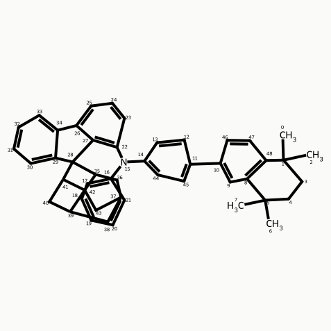 CC1(C)CCC(C)(C)c2cc(-c3ccc(N(c4ccccc4)c4cccc5c4C4(c6ccccc6-5)C5CC6CC7CC4C75C6)cc3)ccc21